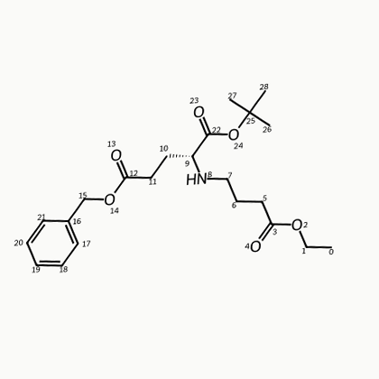 CCOC(=O)CCCN[C@H](CCC(=O)OCc1ccccc1)C(=O)OC(C)(C)C